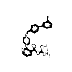 CC(C)OC(=O)c1cccnc1N1CCN(Cc2ccc(-c3cccc(F)c3)cc2)CC1